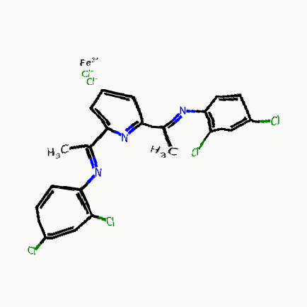 CC(=Nc1ccc(Cl)cc1Cl)c1cccc(C(C)=Nc2ccc(Cl)cc2Cl)n1.[Cl-].[Cl-].[Fe+2]